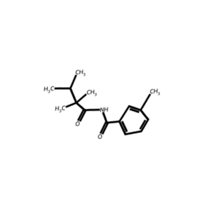 Cc1cccc(C(=O)NC(=O)C(C)(C)C(C)C)c1